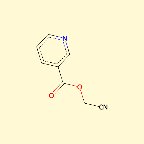 N#CCOC(=O)c1cccnc1